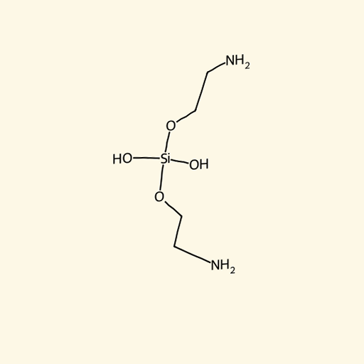 NCCO[Si](O)(O)OCCN